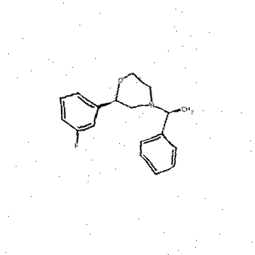 C[C@@H](c1ccccc1)N1CCO[C@H](c2cccc(F)c2)C1